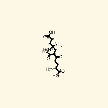 N[C@H](CCC(=O)C(CC(N)(N)CCC(=O)O)C(=O)O)C(=O)O